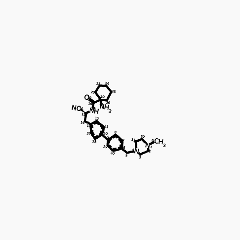 CN1CCN(Cc2ccc(-c3ccc(C[C@@H](C#N)NC(=O)C4(N)CCCCC4)cc3)cc2)CC1